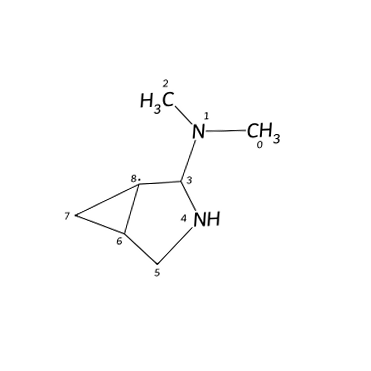 CN(C)C1NCC2C[C]21